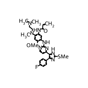 C=CC(=O)Nc1cc(Nc2nccc(-c3[nH]c(SC)nc3-c3ccc(F)cc3)n2)c(OC)cc1N(C)CCN(C)C